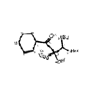 CCCCCCC(C(C)(C)C)C(O)(C(=O)C1CCCCC1)C(C)(C)C